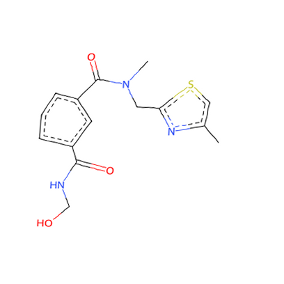 Cc1csc(CN(C)C(=O)c2cccc(C(=O)NCO)c2)n1